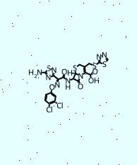 Nc1nc(C(=NOc2ccc(Cl)c(Cl)c2)C(=O)NC2C(=O)N3C(C(=O)O)=C(CSc4nncs4)CS[C@@H]23)ns1